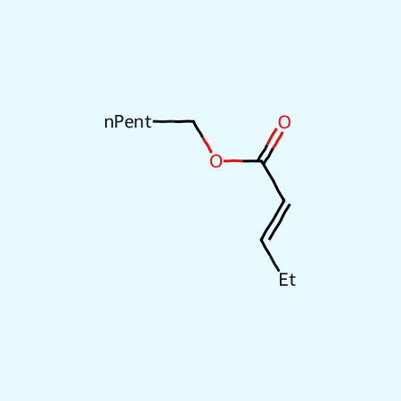 CCC=CC(=O)OCCCCCC